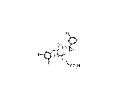 CCc1cccc(C2(NC[C@@H](O)[C@H](Cc3cc(F)cc(F)c3)NC(=O)CCCC(=O)O)CC2)c1